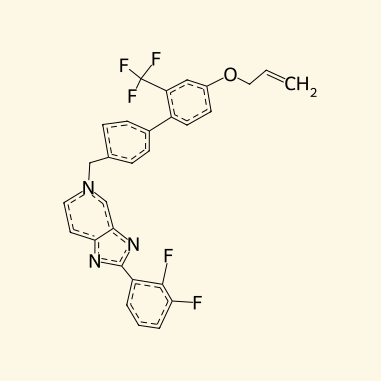 C=CCOc1ccc(-c2ccc(Cn3ccc4nc(-c5cccc(F)c5F)nc-4c3)cc2)c(C(F)(F)F)c1